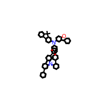 CC1(C)c2ccccc2-c2ccc(N(c3ccc(-c4ccc(-c5ccccc5-n5c6cc(-c7ccccc7)ccc6c6ccc(-c7ccccc7)cc65)cc4)cc3)c3ccc4oc5ccccc5c4c3)cc21